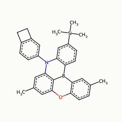 Cc1ccc2c(c1)B1c3ccc([Si](C)(C)C)cc3N(c3ccc4c(c3)CC4)c3cc(C)cc(c31)O2